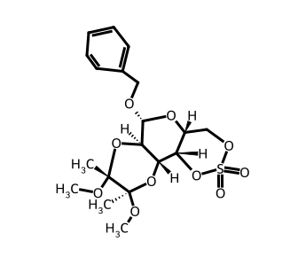 CO[C@]1(C)O[C@H]2[C@H]3OS(=O)(=O)OC[C@H]3O[C@@H](OCc3ccccc3)[C@@H]2O[C@@]1(C)OC